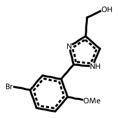 COc1ccc(Br)cc1-c1nc(CO)c[nH]1